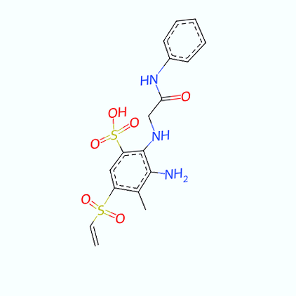 C=CS(=O)(=O)c1cc(S(=O)(=O)O)c(NCC(=O)Nc2ccccc2)c(N)c1C